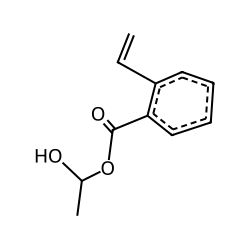 C=Cc1ccccc1C(=O)OC(C)O